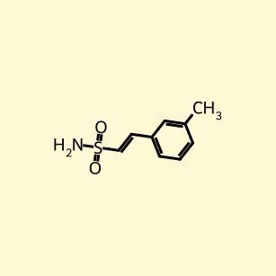 Cc1cccc(/C=C/S(N)(=O)=O)c1